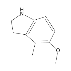 COc1ccc2c(c1C)CCN2